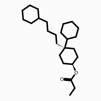 CCC(=O)O[C@H]1CC[C@@](CCCCC2CCCCC2)(C2CCCCC2)CC1